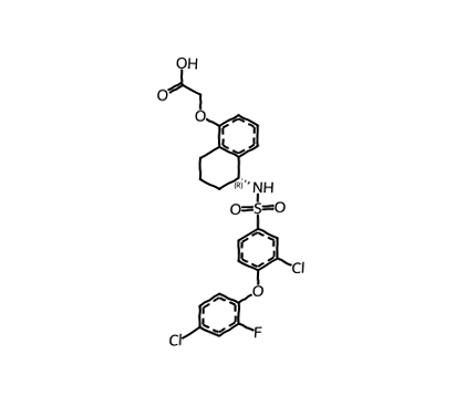 O=C(O)COc1cccc2c1CCC[C@H]2NS(=O)(=O)c1ccc(Oc2ccc(Cl)cc2F)c(Cl)c1